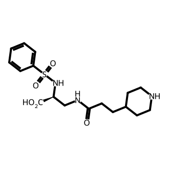 O=C(CCC1CCNCC1)NC[C@H](NS(=O)(=O)c1ccccc1)C(=O)O